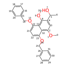 COc1cc(C(C)O)c(OC)c2c(OCc3ccccc3)ccc(OCc3ccccc3)c12